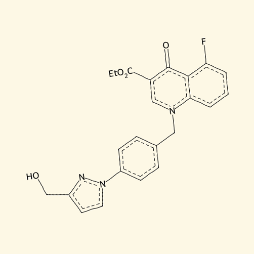 CCOC(=O)c1cn(Cc2ccc(-n3ccc(CO)n3)cc2)c2cccc(F)c2c1=O